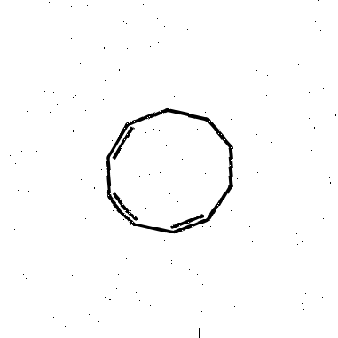 [C]1=C\C=C/CCCC\C=C/1